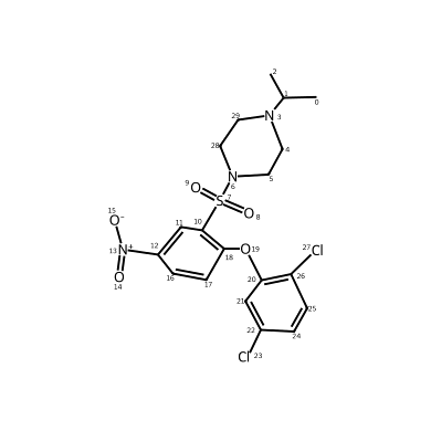 CC(C)N1CCN(S(=O)(=O)c2cc([N+](=O)[O-])ccc2Oc2cc(Cl)ccc2Cl)CC1